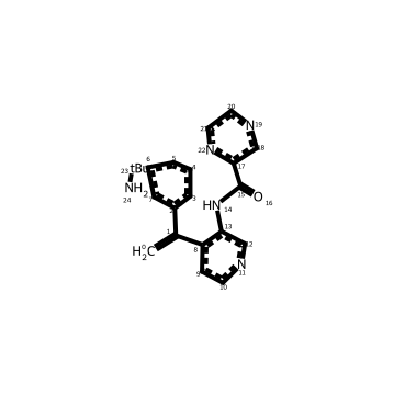 C=C(c1ccccc1)c1ccncc1NC(=O)c1cnccn1.CC(C)(C)N